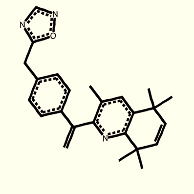 C=C(c1ccc(Cc2ncno2)cc1)c1nc2c(cc1C)C(C)(C)C=CC2(C)C